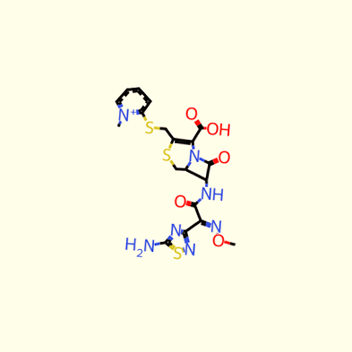 CON=C(C(=O)NC1C(=O)N2C(C(=O)O)=C(CSc3cccc[n+]3C)SCC12)c1nsc(N)n1